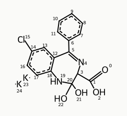 O=C(O)C1N=C(c2ccccc2)c2cc(Cl)ccc2NC1(O)O.[K].[K]